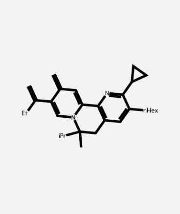 C=C1C=C2c3nc(C4CC4)c(CCCCCC)cc3CC(C)(C(C)C)N2C=C1C(=C)CC